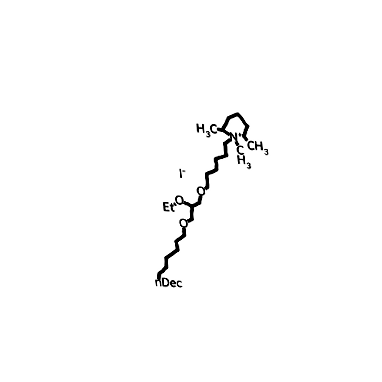 CCCCCCCCCCCCCCCCOCC(COCCCCCC[N+]1(C)C(C)CCCC1C)OCC.[I-]